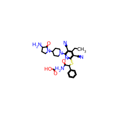 CCc1c(C#N)c(SC(C(N)=O)c2ccccc2)nc(N2CCC(N3CCC(N)C3=O)CC2)c1C#N.O=CO